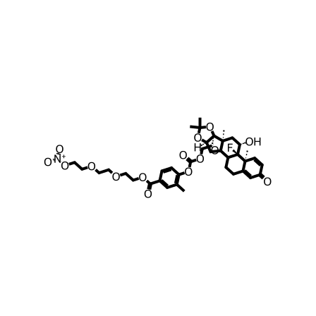 Cc1cc(C(=O)OCCOCCOCCO[N+](=O)[O-])ccc1OC(=O)OCC(=O)[C@@]12OC(C)(C)O[C@@H]1CC1C3CCC4=CC(=O)C=C[C@]4(C)[C@@]3(F)[C@@H](O)C[C@@]12C